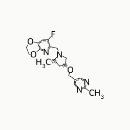 Cc1ncc(CO[C@@H]2C[C@H](C)N(Cc3nc4c(cc3F)OCCO4)C2)cn1